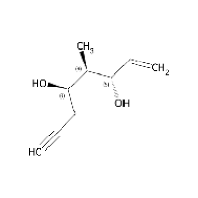 C#CC[C@@H](O)[C@@H](C)[C@@H](O)C=C